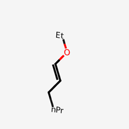 CCCCC=COCC